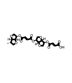 C[C@H]1CO[C@H]2[C@@H]1OC[C@@H]2OC(=O)C=CC(=O)O[C@H]1CO[C@H]2[C@@H]1OC[C@@H]2OC(=O)C=CC(=O)O